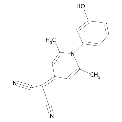 CC1=CC(=C(C#N)C#N)C=C(C)N1c1cccc(O)c1